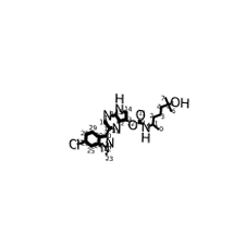 CC(CCCC(C)(C)O)NC(=O)Oc1c[nH]c2ncc(-c3nn(C)c4cc(Cl)ccc34)nc12